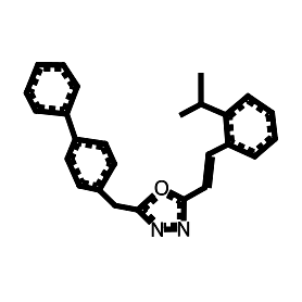 CC(C)c1ccccc1/C=C/c1nnc(Cc2ccc(-c3ccccc3)cc2)o1